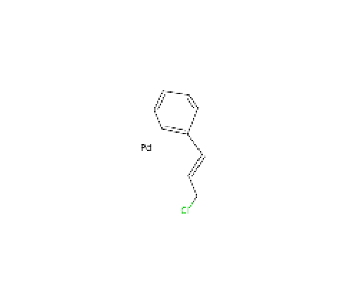 ClCC=Cc1ccccc1.[Pd]